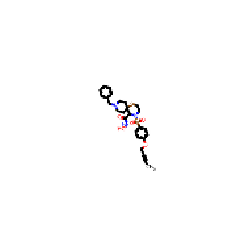 CC#CCOc1ccc(S(=O)(=O)N2CCSC3(CCN(Cc4ccccc4)CC3)C2C(=O)NO)cc1